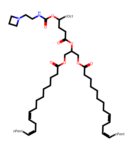 CCCCC/C=C\C/C=C\CCCCCCCC(=O)OCC(COC(=O)CCCCCCC/C=C\C/C=C\CCCCC)OC(=O)CCC(CCCCCCCC)OC(=O)NCCN1CCC1